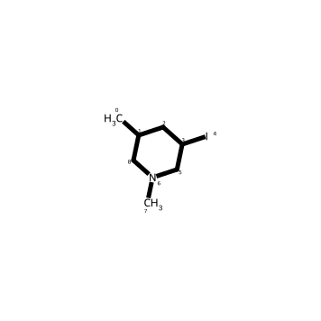 CC1CC(I)CN(C)C1